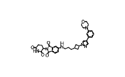 O=C1CCC(N2C(=O)c3ccc(NCCCC4CC(n5cc(-c6cccc(N7CCOCC7)c6)cn5)C4)cc3C2=O)C(=O)N1